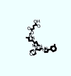 Cc1cccc(-c2ccn(-c3cc(N4CCOCC4)n4nc(-c5cc(C)n(COC(=O)CCC(=O)O)n5)cc4n3)n2)c1